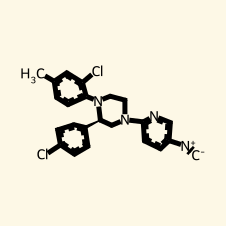 [C-]#[N+]c1ccc(N2CCN(c3ccc(C)cc3Cl)[C@H](c3ccc(Cl)cc3)C2)nc1